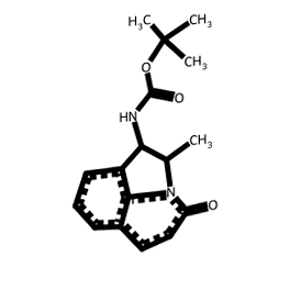 CC1C(NC(=O)OC(C)(C)C)c2cccc3ccc(=O)n1c23